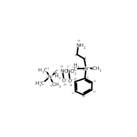 C[N+](C)(C)C.C[N+](C)(CCN)c1ccccc1.O=[N+]([O-])[O-].O=[N+]([O-])[O-]